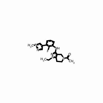 CCn1nc(Nc2cccc(-c3cnn(C)c3)c2F)c2c1CCN(C(C)=O)C2